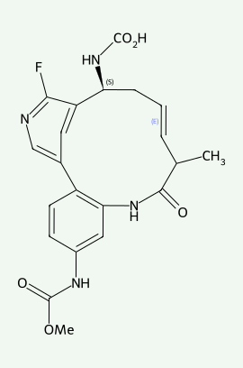 COC(=O)Nc1ccc2c(c1)NC(=O)C(C)/C=C/C[C@H](NC(=O)O)c1cc-2cnc1F